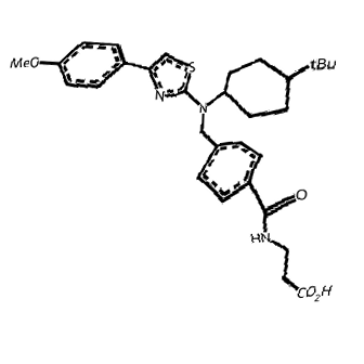 COc1ccc(-c2csc(N(Cc3ccc(C(=O)NCCC(=O)O)cc3)C3CCC(C(C)(C)C)CC3)n2)cc1